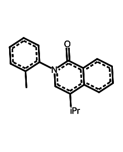 Cc1ccccc1-n1cc(C(C)C)c2ccccc2c1=O